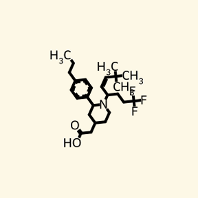 CCCc1ccc(C2CC(CC(=O)O)CCN2C(/C=C\C(C)(C)C)CCC(F)(F)F)cc1